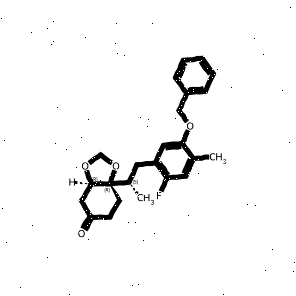 Cc1cc(F)c(C[C@H](C)[C@]23CCC(=O)C[C@H]2OCO3)cc1OCc1ccccc1